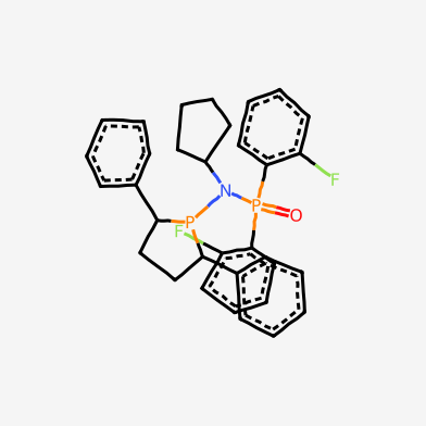 O=P(c1ccccc1F)(c1ccccc1F)N(C1CCCC1)P1C(c2ccccc2)CCC1c1ccccc1